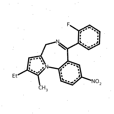 CCc1cc2n(c1C)-c1ccc([N+](=O)[O-])cc1C(c1ccccc1F)=NC2